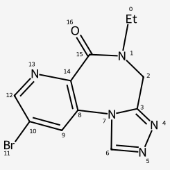 CCN1Cc2nncn2-c2cc(Br)cnc2C1=O